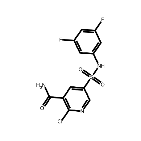 NC(=O)c1cc(S(=O)(=O)Nc2cc(F)cc(F)c2)cnc1Cl